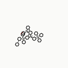 c1ccc(-c2cccc([Si](c3ccccc3)(c3ccccc3)c3ccc4c(c3)c3c(ccc5c6ccccc6n(-c6ccccc6)c53)n4-c3cccc([Si](c4ccccc4)(c4ccccc4)c4ccccc4)c3)c2)cc1